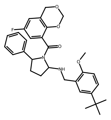 COc1ccc(C(C)(C)C)cc1CNC1CCC(c2ccccc2)N1C(=O)c1cc(F)cc2c1OCOC2